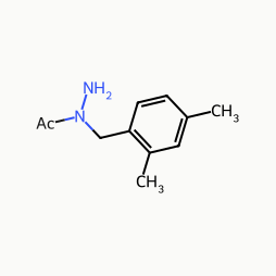 CC(=O)N(N)Cc1ccc(C)cc1C